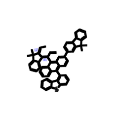 C=C/C(=C1\C(=C/C)C(C)(C)c2ccccc21)c1c2ccccc2c(-c2cccc3sc4ccccc4c23)c2ccc(-c3ccc4c(c3)C(C)(C)c3ccccc3-4)cc12